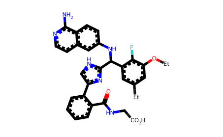 CCOc1cc(CC)cc(C(Nc2ccc3c(N)nccc3c2)c2nc(-c3ccccc3C(=O)NCC(=O)O)c[nH]2)c1F